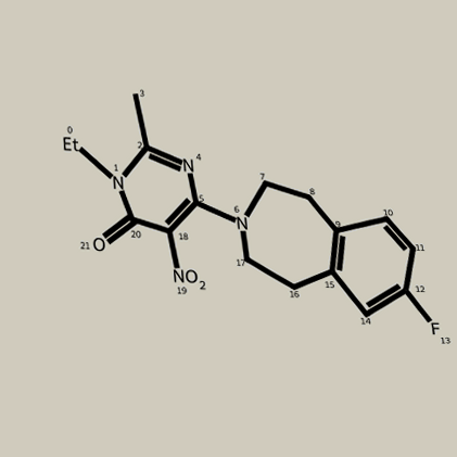 CCn1c(C)nc(N2CCc3ccc(F)cc3CC2)c([N+](=O)[O-])c1=O